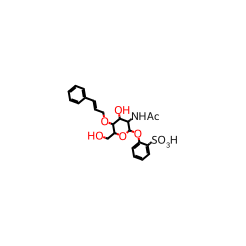 CC(=O)NC1C(Oc2ccccc2S(=O)(=O)O)OC(CO)C(OC/C=C/c2ccccc2)C1O